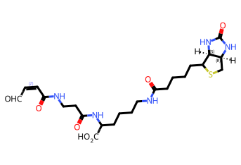 O=C/C=C\C(=O)NCCC(=O)NC(CCCCNC(=O)CCCCC1SC[C@@H]2NC(=O)N[C@H]12)C(=O)O